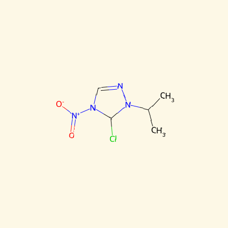 CC(C)N1N=CN([N+](=O)[O-])C1Cl